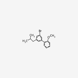 COc1ccccc1-c1cc(Br)cc(CC(C)C)c1